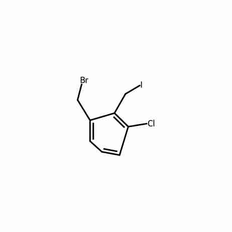 Clc1cccc(CBr)c1CI